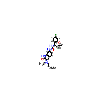 COCCN(C)C1Cc2ccc(NC(=O)N[C@@H]3CC(CF)(CF)Oc4cc(Cl)ccc43)cc2NC1=O